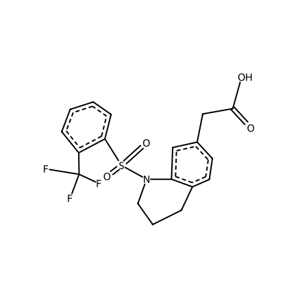 O=C(O)Cc1ccc2c(c1)N(S(=O)(=O)c1ccccc1C(F)(F)F)CCC2